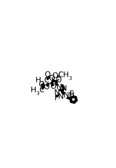 CC(=O)OC[C@@H]1O[C@@H](n2cnc3c(NCc4ccccc4F)nc(I)nc32)[C@H](OC(C)=O)[C@@H]1OC(C)=O